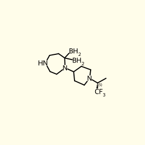 BC1(B)CCNCCN1C1CCN([C@@H](C)C(F)(F)F)CC1